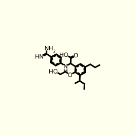 CCCc1cc(C(C)CC)c(OCCO)c(C(Nc2ccc(C(=N)N)cc2)C(=O)O)c1